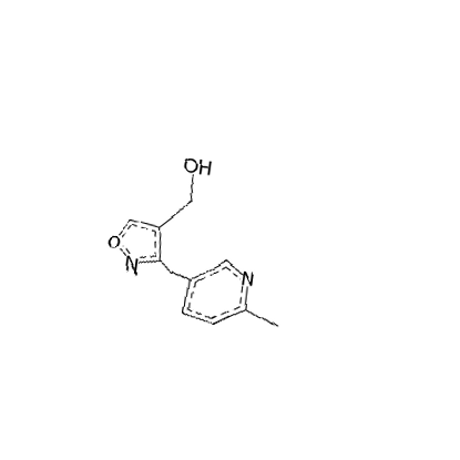 Cc1ccc(-c2nocc2CO)cn1